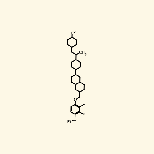 CCCC1CCC(CC(C)C2CCC(C3CCC4CC(COc5ccc(OCC)c(F)c5F)CCC4C3)CC2)CC1